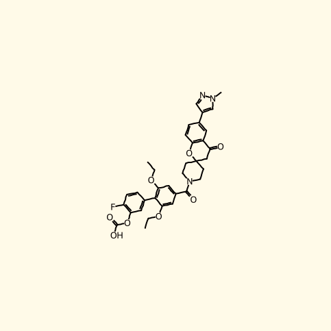 CCOc1cc(C(=O)N2CCC3(CC2)CC(=O)c2cc(-c4cnn(C)c4)ccc2O3)cc(OCC)c1-c1ccc(F)c(OC(=O)O)c1